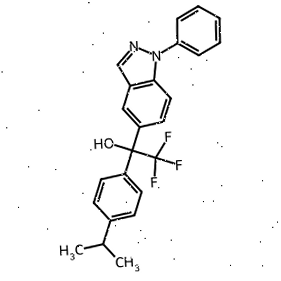 CC(C)c1ccc(C(O)(c2ccc3c(cnn3-c3ccccc3)c2)C(F)(F)F)cc1